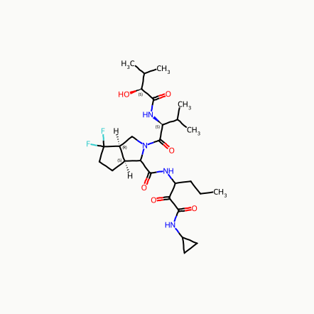 CCCC(NC(=O)C1[C@H]2CCC(F)(F)[C@H]2CN1C(=O)[C@@H](NC(=O)[C@@H](O)C(C)C)C(C)C)C(=O)C(=O)NC1CC1